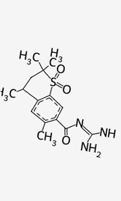 Cc1cc2c(cc1C(=O)N=C(N)N)S(=O)(=O)C(C)(C)CC2C